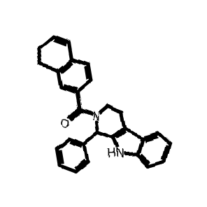 O=C(c1ccc2c(c1)CCC=C2)N1CCc2c([nH]c3ccccc23)C1c1ccccc1